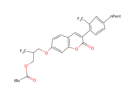 CCCCCc1ccc(-c2cc3ccc(OCC(COC(=O)C(C)(C)C)C(F)(F)F)cc3oc2=O)c(C(F)(F)F)c1